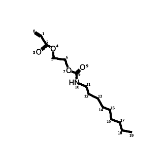 C=CC(=O)OCCOC(=O)NCCCCCCCCC